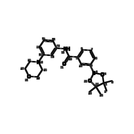 CC1(C)OB(c2cccc(C(=O)Nc3cccc(N4CCOCC4)c3)c2)OC1(C)C